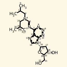 CC(C)CN(C=Nc1nnnc2c1ncn2[C@@H]1C[C@H](O)[C@@H](CO)O1)CC(C)C